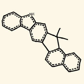 CC1(C)c2cc3[nH]c4ccccc4c3cc2-c2ccc3ccccc3c21